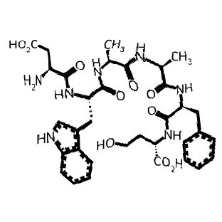 C[C@H](NC(=O)[C@H](C)NC(=O)[C@H](Cc1c[nH]c2ccccc12)NC(=O)[C@@H](N)CC(=O)O)C(=O)N[C@@H](Cc1ccccc1)C(=O)N[C@@H](CCO)C(=O)O